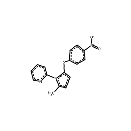 Cc1ccc(Sc2ccc([N+](=O)[O-])cc2)n1-c1ccccn1